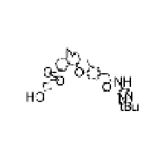 Cc1cc(CC(=O)Nc2cnn(C(C)(C)C)c2)ccc1Oc1ccnc2ccc(S(=O)(=O)C3CC(O)C3)cc12